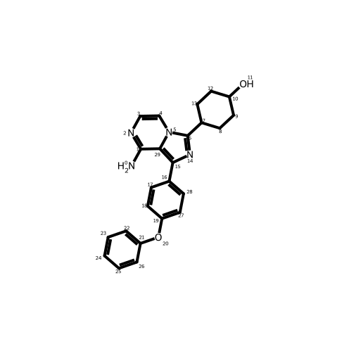 Nc1nccn2c(C3CCC(O)CC3)nc(-c3ccc(Oc4ccccc4)cc3)c12